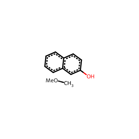 COC.Oc1ccc2ccccc2c1